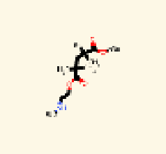 CCCCOC(=O)C(C)(CC)CC(C)(C)C(=O)OCCNC(C)(C)C